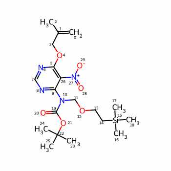 C=C(C)COc1ncnc(N(COCC[Si](C)(C)C)C(=O)OC(C)(C)C)c1[N+](=O)[O-]